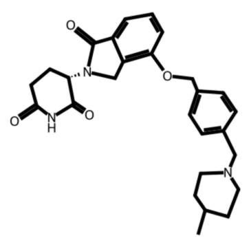 CC1CCN(Cc2ccc(COc3cccc4c3CN([C@H]3CCC(=O)NC3=O)C4=O)cc2)CC1